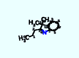 CCCC1=Nc2ccccc2C1(C)C